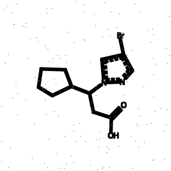 O=C(O)CC(C1CCCC1)n1cc(Br)cn1